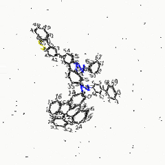 c1ccc(-c2ccc(N(c3ccc4c(c3)-c3ccccc3C4(c3ccccc3)c3ccccc3)c3ccc4c5cc(-c6ccc7sc8ccccc8c7c6)ccc5n(-c5ccccc5)c4c3)cc2)cc1